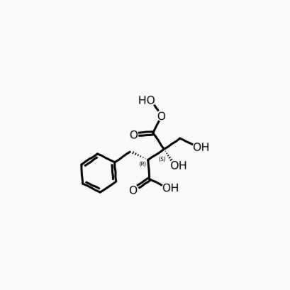 O=C(O)[C@H](Cc1ccccc1)[C@](O)(CO)C(=O)OO